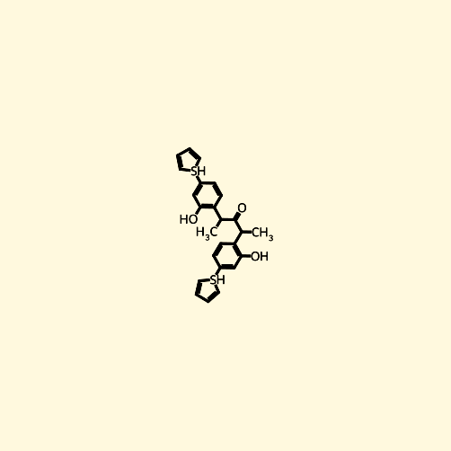 CC(C(=O)C(C)c1ccc([SH]2C=CC=C2)cc1O)c1ccc([SH]2C=CC=C2)cc1O